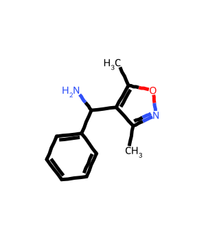 Cc1noc(C)c1C(N)c1ccccc1